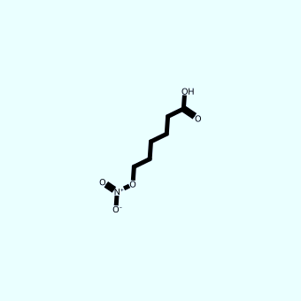 O=C(O)CCCCCO[N+](=O)[O-]